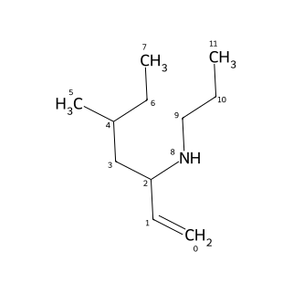 C=CC(CC(C)CC)NCCC